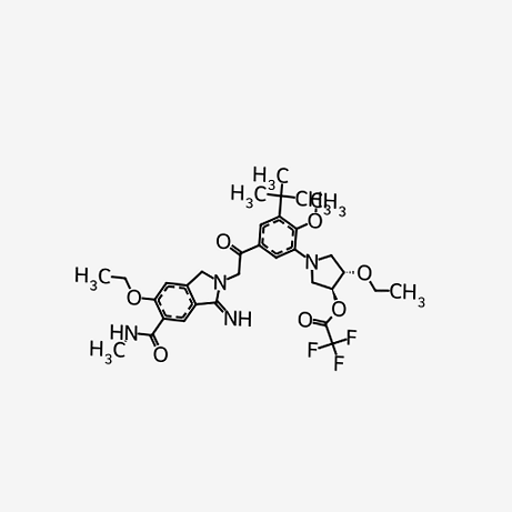 CCOc1cc2c(cc1C(=O)NC)C(=N)N(CC(=O)c1cc(N3C[C@H](OCC)[C@@H](OC(=O)C(F)(F)F)C3)c(OC)c(C(C)(C)C)c1)C2